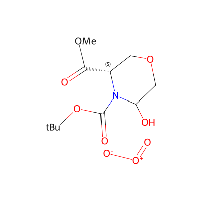 COC(=O)[C@@H]1COCC(O)N1C(=O)OC(C)(C)C.O=[O+][O-]